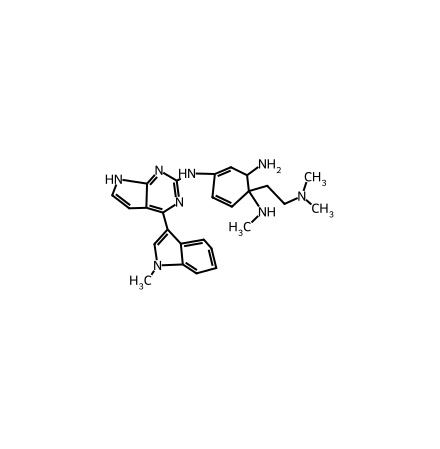 CNC1(CCN(C)C)C=CC(Nc2nc(-c3cn(C)c4ccccc34)c3cc[nH]c3n2)=CC1N